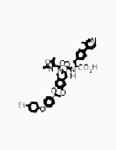 CC[C@H]1CC[C@@H](Oc2ccc([C@H]3COc4cc5c(cc4O3)CN(C(=O)c3nc(C)oc3C)[C@H](C(=O)N[C@@H](Cc3ccc(-c4ccncc4C)cc3)C(=O)O)C5)cc2)CC1